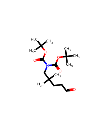 CC(C)(CCC=O)CN(C(=O)OC(C)(C)C)C(=O)OC(C)(C)C